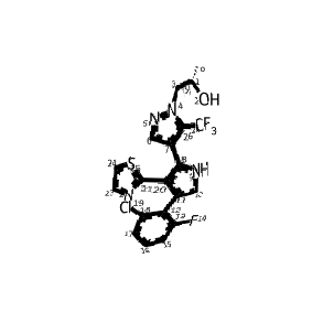 C[C@H](O)Cn1ncc(-c2[nH]cc(-c3c(F)cccc3Cl)c2-c2nccs2)c1C(F)(F)F